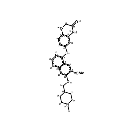 COc1cc2c(Oc3ccc4c(c3)NC(=O)CO4)ncnc2cc1OCC1CCN(C)CC1